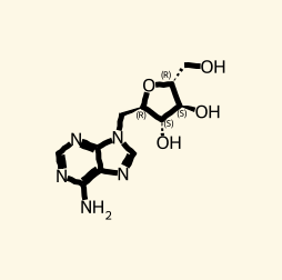 Nc1ncnc2c1ncn2C[C@H]1O[C@H](CO)[C@@H](O)[C@@H]1O